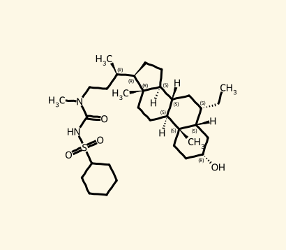 CC[C@H]1C[C@@H]2[C@H](CC[C@]3(C)[C@@H]([C@H](C)CCN(C)C(=O)NS(=O)(=O)C4CCCCC4)CC[C@@H]23)[C@@]2(C)CC[C@@H](O)C[C@@H]12